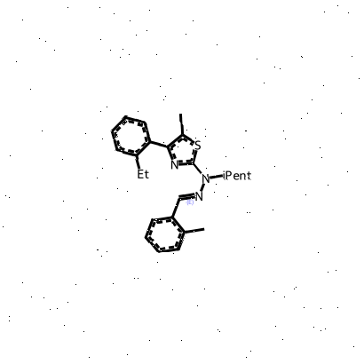 CCCC(C)N(/N=C/c1ccccc1C)c1nc(-c2ccccc2CC)c(C)s1